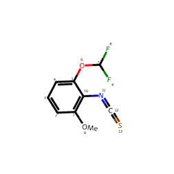 COc1cccc(OC(F)F)c1N=C=S